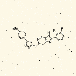 CCCCc1ccc(-c2cc(CN3Cc4nc(-c5cccc(F)c5F)[nH]c4C=N3)no2)cc1